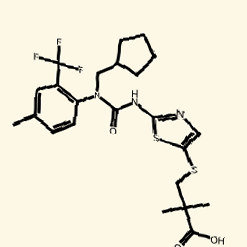 Cc1ccc(N(CC2CCCC2)C(=O)Nc2ncc(SCC(C)(C)C(=O)O)s2)c(C(F)(F)F)c1